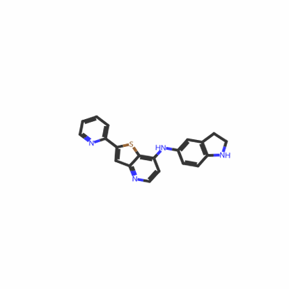 c1ccc(-c2cc3nccc(Nc4ccc5c(c4)CCN5)c3s2)nc1